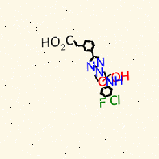 O=C(O)C=Cc1cccc(-c2cnc(N3CCOC(CO)(Nc4ccc(F)c(Cl)c4)C3)nc2)c1